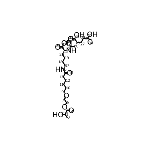 CC(O)C(=O)OCCOCCCCCC(=O)NCCCC[C@H](NC(=O)C[C@@H](CCC(=O)O)C(=O)O)C(=O)O